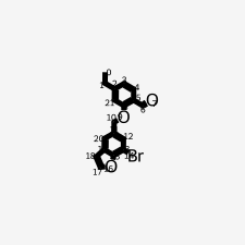 CCc1ccc(C=O)c(OCc2cc(Br)c3occc3c2)c1